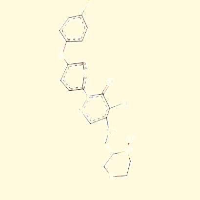 O=c1c(Cl)c(NC[C@H]2COCC[S@+]2[O-])cnn1-c1ccc(Oc2ccc(F)cc2)cc1